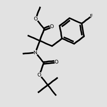 COC(=O)C(C)(Cc1ccc(F)cc1)N(C)C(=O)OC(C)(C)C